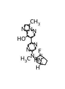 Cc1cnc2c(O)c(-c3cnc(N(C)[C@H]4C[C@@H]5CCC(N5)[C@H]4F)cn3)cnn12